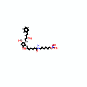 O=C(CCC/C=C\C[C@@H]1[C@@H](CC[C@@H](O)CCc2ccccc2)[C@H](O)C[C@@H]1O)NCCCCCCON(O)O